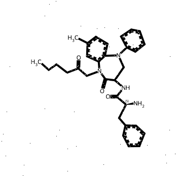 CCCCC(=O)CN1C(=O)C(NC(=O)[C@@H](N)Cc2ccccc2)CN(c2ccccc2)c2ccc(C)cc21